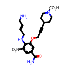 NCC=CCNc1c(OCC#CC2CCN(C(=O)O)CC2)cc(C(N)=O)cc1[N+](=O)[O-]